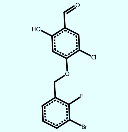 O=Cc1cc(Cl)c(OCc2cccc(Br)c2F)cc1O